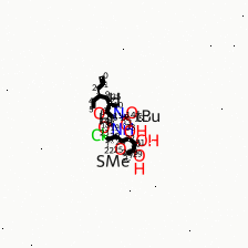 C=CC[C@@H]1CCO[C@@H]2[C@@H](C1)CN(C(=O)OC(C)(C)C)[C@@H]2C(=O)N[C@H]([C@H](C)Cl)[C@H]1OC(SC)[C@H](O)[C@H](O)C1O